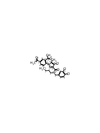 CCCCN(Cc1ccc(Cl)c(Cl)c1)C(=O)c1nn(-c2ccc(C(C)=O)cc2C(C)=O)c(C)c1Cl